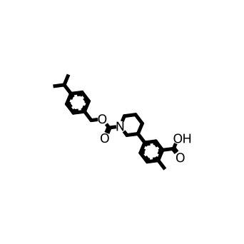 Cc1ccc(C2CCCN(C(=O)OCc3ccc(C(C)C)cc3)C2)cc1C(=O)O